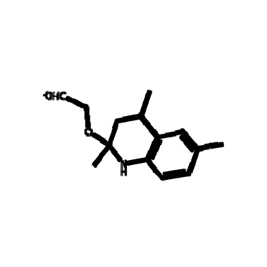 Cc1ccc2c(c1)C(C)CC(C)(OC[C]=O)N2